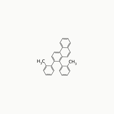 Cc1ccccc1-c1ccc2c(ccc3ccccc32)c1-c1ccccc1C